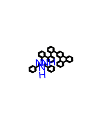 c1ccc(C2=NC(c3ccccc3-c3ccccc3-c3ccccc3-c3ccc4c5ccccc5c5ccccc5c4c3)NC(c3ccccc3)N2)cc1